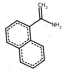 C=C(N)c1cccc2ccccc12